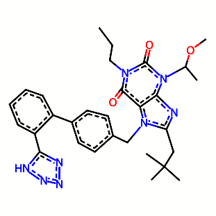 CCCn1c(=O)c2c(nc(CC(C)(C)C)n2Cc2ccc(-c3ccccc3-c3nnn[nH]3)cc2)n(C(C)OC)c1=O